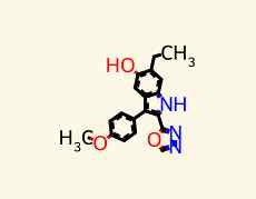 CCc1cc2[nH]c(-c3nnco3)c(-c3ccc(OC)cc3)c2cc1O